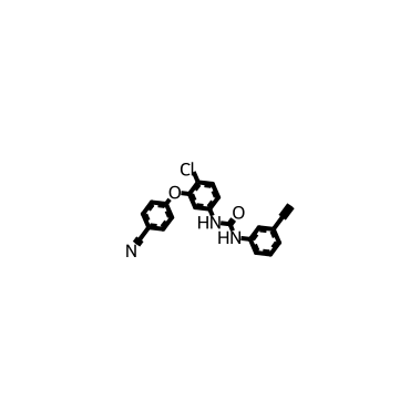 C#Cc1cccc(NC(=O)Nc2ccc(Cl)c(Oc3ccc(C#N)cc3)c2)c1